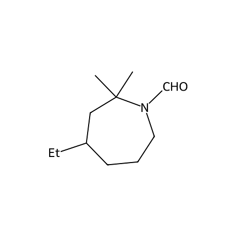 CCC1CCCN(C=O)C(C)(C)C1